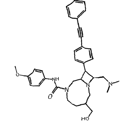 COc1ccc(NC(=O)N2CCC(CO)CN3C(C2)C(c2ccc(C#Cc4ccccc4)cc2)[C@H]3CN(C)C)cc1